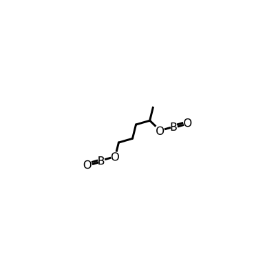 CC(CCCOB=O)OB=O